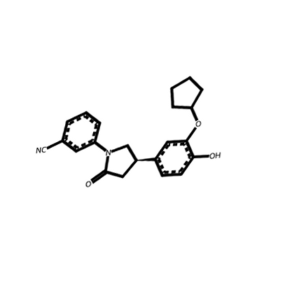 N#Cc1cccc(N2C[C@@H](c3ccc(O)c(OC4CCCC4)c3)CC2=O)c1